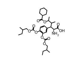 CCC(C)COC(=O)Oc1ccc(C(C(C)C(C)OC(=O)C2CCCCC2)[C@H](N)C(=O)O)cc1OC(=O)OCC(C)CC